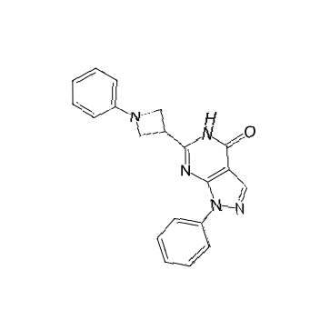 O=c1[nH]c(C2CN(c3ccccc3)C2)nc2c1cnn2-c1ccccc1